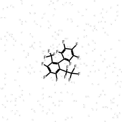 Fc1c(F)c(F)c(-c2c(C(F)(F)F)c(F)c(F)c(F)c2C(F)(F)C(F)(F)F)c(F)c1F